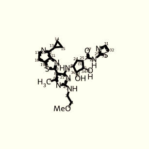 COCCNc1nc(C)c(-c2nc3c(C4CC4)nccc3s2)c(N[C@@H]2C[C@H](C(=O)Nc3nccs3)[C@@H](O)[C@H]2O)n1